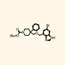 CC(C)(C)OC(=O)N1CCC(COCc2cc(Br)cc3[nH]cnc23)(c2ccccc2)CC1